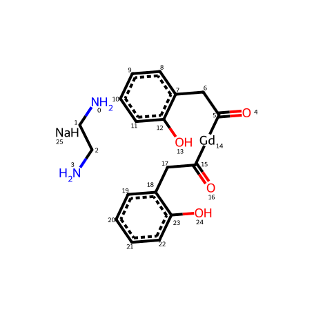 NCCN.O=[C](Cc1ccccc1O)[Gd][C](=O)Cc1ccccc1O.[NaH]